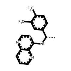 C[C@H](Nc1ncnc2cccnc12)c1ccc(C(F)(F)F)c(C(F)(F)F)c1